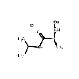 CC(NC(=O)C(C)NC(C)(C)C)C(=O)O.Cl